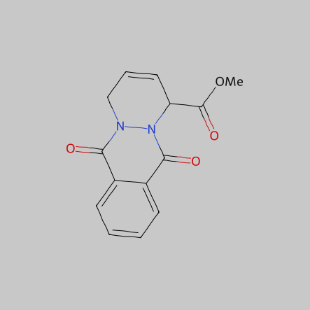 COC(=O)C1C=CCn2c(=O)c3ccccc3c(=O)n21